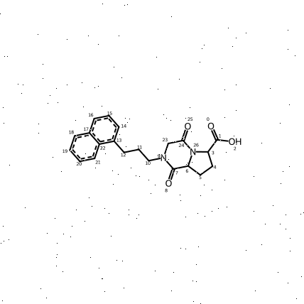 O=C(O)C1CCC2C(=O)N(CCCc3cccc4ccccc34)CC(=O)N12